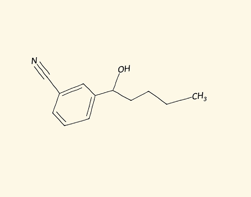 CCCCC(O)c1cccc(C#N)c1